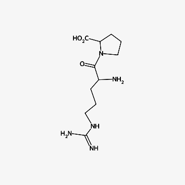 N=C(N)NCCCC(N)C(=O)N1CCCC1C(=O)O